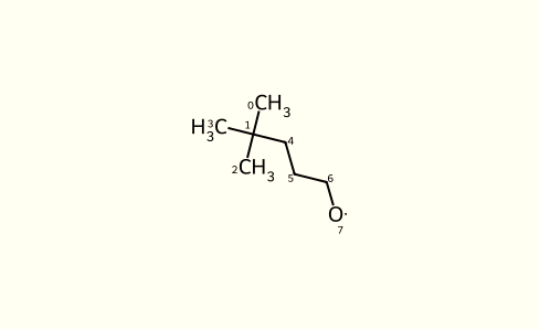 CC(C)(C)CCC[O]